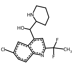 CC(F)(F)c1cc(C(O)C2CCCCN2)c2cc(Cl)ccc2n1